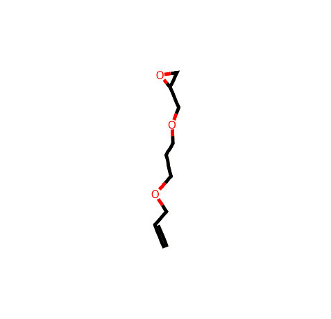 C=CCOCCCOCC1CO1